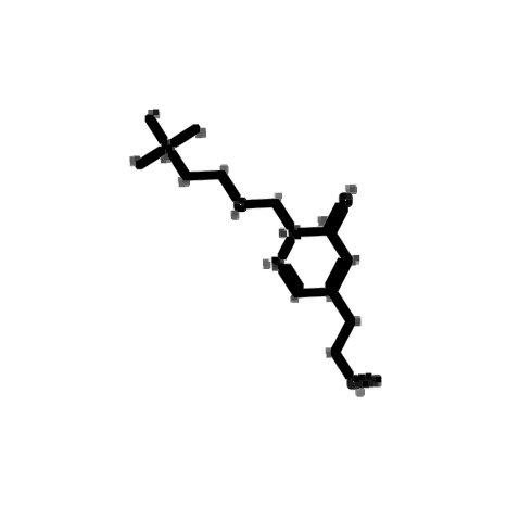 COCCc1cnn(COCC[Si](C)(C)C)c(=O)c1